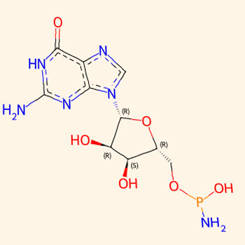 Nc1nc2c(ncn2[C@@H]2O[C@H](COP(N)O)[C@@H](O)[C@H]2O)c(=O)[nH]1